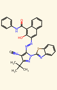 [C-]#[N+]c1c(C(C)(C)C)nn(-c2nc3ccccc3s2)c1/N=N/c1cc2ccccc2c(C(=O)Nc2ccccc2)c1O